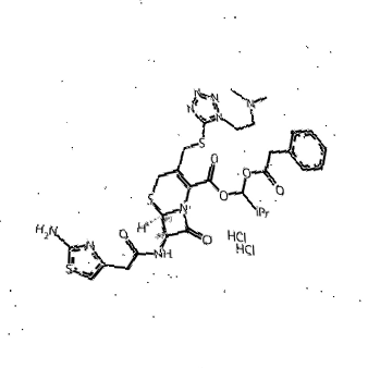 CC(C)C(OC(=O)Cc1ccccc1)OC(=O)C1=C(CSc2nnnn2CCN(C)C)CS[C@@H]2[C@H](NC(=O)Cc3csc(N)n3)C(=O)N12.Cl.Cl